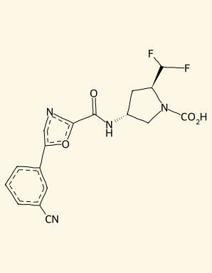 N#Cc1cccc(-c2cnc(C(=O)N[C@@H]3C[C@@H](C(F)F)N(C(=O)O)C3)o2)c1